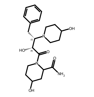 NC(=O)C1CC(O)CCN1C(=O)[C@H](O)[C@H](Cc1ccccc1)N1CCC(O)CC1